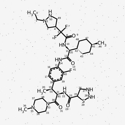 CCN1CC(C(F)(F)C(=O)N[C@H](C(=O)Nc2ccc([C@H](C)[C@@H](NC(=O)C3CNNS3)C(=O)N3CCN(C)CC3)cc2F)[C@H]2CC[C@H](C)CC2)CN1